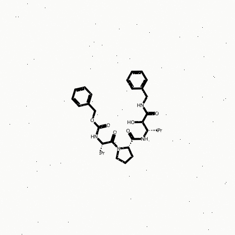 CC(C)[C@H](NC(=O)[C@@H]1CCCN1C(=O)[C@@H](NC(=O)OCc1ccccc1)C(C)C)C(O)C(=O)NCc1ccccc1